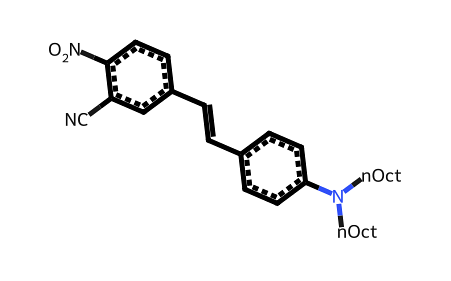 CCCCCCCCN(CCCCCCCC)c1ccc(C=Cc2ccc([N+](=O)[O-])c(C#N)c2)cc1